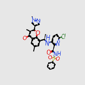 Cc1cc([C@@H](C)Nc2ccc(Cl)nc2C(=O)NS(=O)(=O)c2ccccc2)c2oc(-c3cnn(C)c3)c(C)c(=O)c2c1